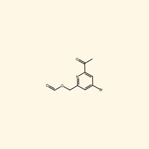 CC(=O)c1cc(Br)cc(COC=O)n1